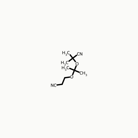 CC(C)(C#N)OC(C)(C)OCCC#N